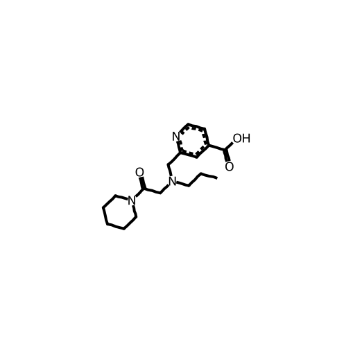 CCCN(CC(=O)N1CCCCC1)Cc1cc(C(=O)O)ccn1